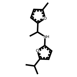 Cc1ccc(C(C)Nc2ccc(C(C)C)o2)o1